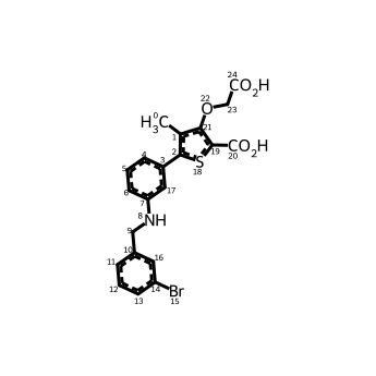 Cc1c(-c2cccc(NCc3cccc(Br)c3)c2)sc(C(=O)O)c1OCC(=O)O